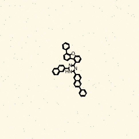 c1ccc(-c2ccc3cc(C4=NC(c5cccc6oc7c(-c8ccccc8)cccc7c56)=NC(c5ccc6ccccc6c5)N4)ccc3c2)cc1